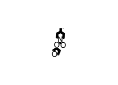 [CH2]C1CCN(C(=O)OC2CCOC2)CC1